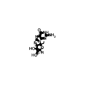 C[C@@]1(n2cnc3c(=O)[nH]c(N)nc32)O[C@@H]2C(O)[C@]2(O)[C@H]1F